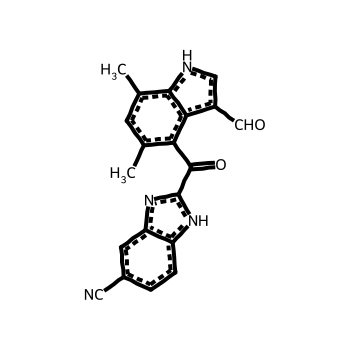 Cc1cc(C)c2[nH]cc(C=O)c2c1C(=O)c1nc2cc(C#N)ccc2[nH]1